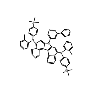 Cc1ccccc1N(c1ccc([Si](C)(C)C)cc1)c1cc2c(c3ccccc13)c1c3ccccc3c(N(c3ccc([Si](C)(C)C)cc3)c3ccccc3C)cc1n2-c1cccc(-c2ccccc2)c1